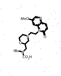 COc1cnc2ccc(=O)n(CCN3CCOC(CN(C(=O)O)C(C)(C)C)C3)c2c1